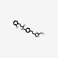 NC1=NC(CCc2ccc(NC(=O)CCc3ccccc3Cl)cc2)CO1